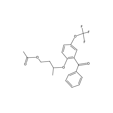 CC(=O)OCCC(C)Oc1ccc(OC(F)(F)F)cc1C(=O)c1ccccc1